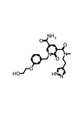 CN(CCc1cn[nH]c1)C(=O)c1cc(C(N)=O)cn(Cc2cccc(OCCO)c2)c1=O